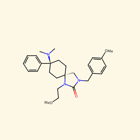 COCCN1C(=O)N(Cc2ccc(OC)cc2)C[C@]12CC[C@](c1ccccc1)(N(C)C)CC2